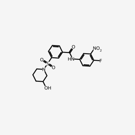 O=C(Nc1ccc(F)c([N+](=O)[O-])c1)c1cccc(S(=O)(=O)N2CCCC(O)C2)c1